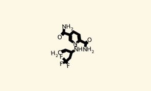 C=CC(CC(F)(F)F)NN1C=C(C(N)=O)CC=C1C(N)=O